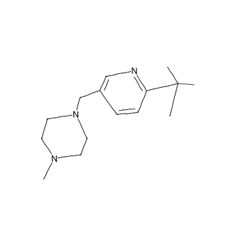 CN1CCN(Cc2ccc(C(C)(C)C)nc2)CC1